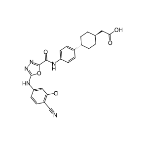 N#Cc1ccc(Nc2nnc(C(=O)Nc3ccc([C@H]4CC[C@H](CC(=O)O)CC4)cc3)o2)cc1Cl